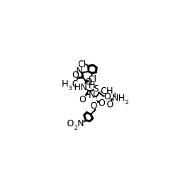 Cc1onc(-c2c(Cl)cccc2Cl)c1C(=O)N[C@@H]1C(=O)N2[C@@H]1S[C@@](C)(COC(N)=O)[C@@H]2C(=O)OCc1ccc([N+](=O)[O-])cc1